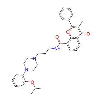 Cc1c(-c2ccccc2)oc2c(C(=O)NCCCN3CCN(c4ccccc4OC(C)C)CC3)cccc2c1=O